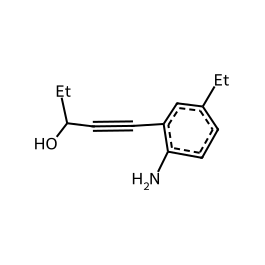 CCc1ccc(N)c(C#CC(O)CC)c1